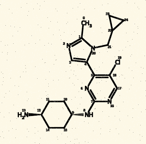 Cc1ncc(-c2nc(N[C@H]3CC[C@H](N)CC3)ncc2Cl)n1CC1CC1